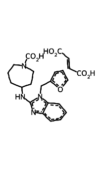 O=C(O)/C=C/C(=O)O.O=C(O)N1CCCC(Nc2nc3ccccc3n2Cc2ccco2)CC1